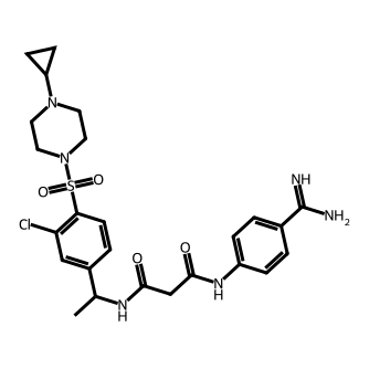 CC(NC(=O)CC(=O)Nc1ccc(C(=N)N)cc1)c1ccc(S(=O)(=O)N2CCN(C3CC3)CC2)c(Cl)c1